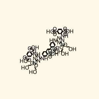 O=S(=O)(O)c1ccc(S(=O)(=O)O)c(Nc2nc(Nc3ccc(C=Cc4ccc(Nc5nc(Nc6cc(S(=O)(=O)O)ccc6S(=O)(=O)O)nc(N(OCCO)OCCO)n5)cc4S(=O)(=O)O)c(S(=O)(=O)O)c3)nc(N(OCCO)OCCO)n2)c1